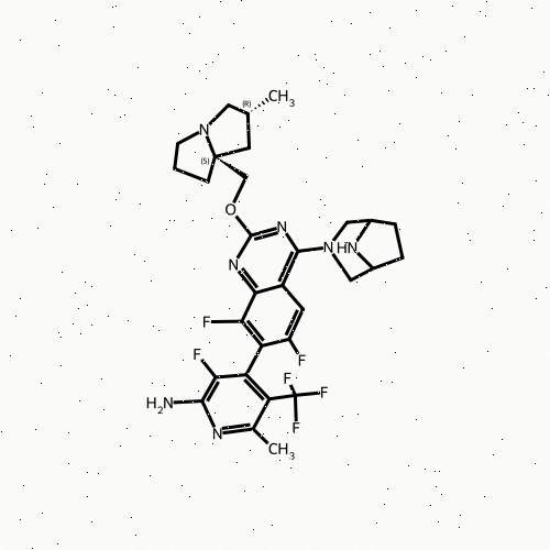 Cc1nc(N)c(F)c(-c2c(F)cc3c(N4CC5CCC(C4)N5)nc(OC[C@@]45CCCN4C[C@H](C)C5)nc3c2F)c1C(F)(F)F